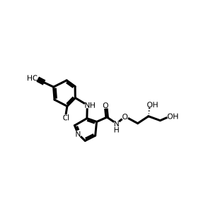 C#Cc1ccc(Nc2cnccc2C(=O)NOC[C@H](O)CO)c(Cl)c1